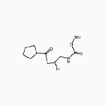 CCC(CNC(=O)OC(C)(C)C)CC(=O)C1CCCC1